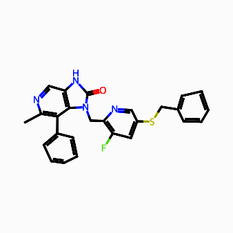 Cc1ncc2[nH]c(=O)n(Cc3ncc(SCc4ccccc4)cc3F)c2c1-c1ccccc1